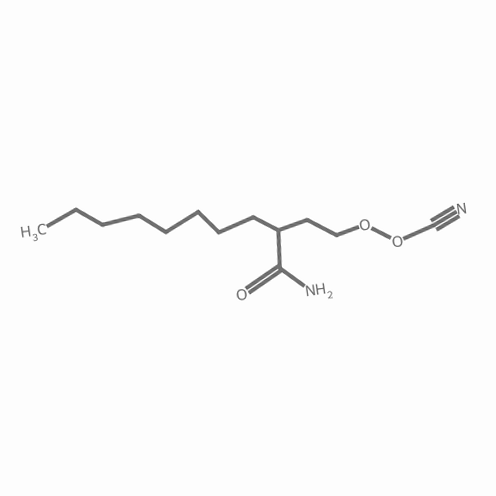 CCCCCCCCC(CCOOC#N)C(N)=O